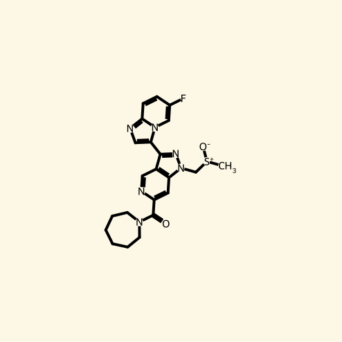 C[S+]([O-])Cn1nc(-c2cnc3ccc(F)cn23)c2cnc(C(=O)N3CCCCCC3)cc21